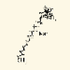 CCCCCCCCCCCCCCCCCCCCC(=O)P(=O)([O-])OC.[Na+]